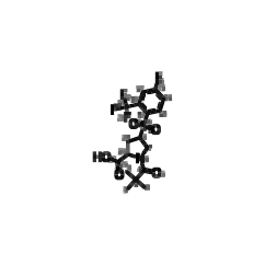 CC(C)(C)C(=O)N1CC(S(=O)(=O)c2ccc(F)cc2C(F)(F)F)CC1C(=O)O